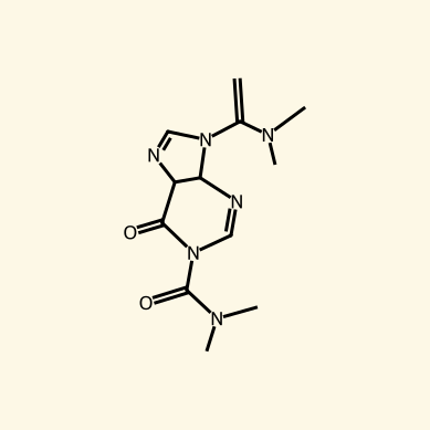 C=C(N(C)C)N1C=NC2C(=O)N(C(=O)N(C)C)C=NC21